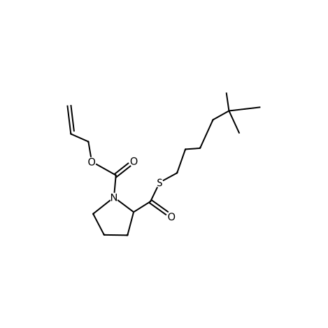 C=CCOC(=O)N1CCCC1C(=O)SCCCCC(C)(C)C